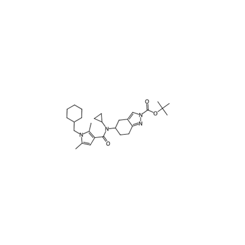 Cc1cc(C(=O)N(C2CC2)C2CCc3nn(C(=O)OC(C)(C)C)cc3C2)c(C)n1CC1CCCCC1